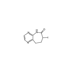 O=C1Nc2nccnc2CCC1I